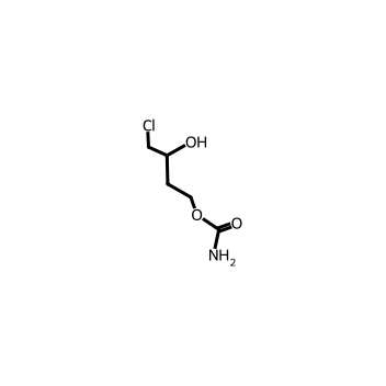 NC(=O)OCCC(O)CCl